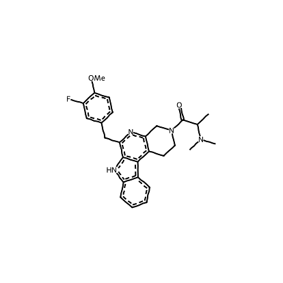 COc1ccc(Cc2nc3c(c4c2[nH]c2ccccc24)CCN(C(=O)C(C)N(C)C)C3)cc1F